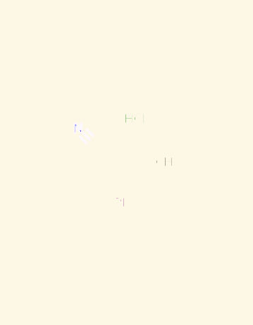 CC(P)C#N.Cl